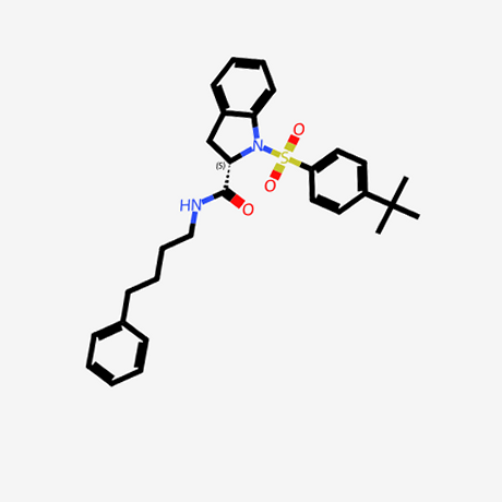 CC(C)(C)c1ccc(S(=O)(=O)N2c3ccccc3C[C@H]2C(=O)NCCCCc2ccccc2)cc1